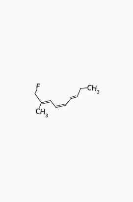 CC/C=C/C=C\C=C(/C)CF